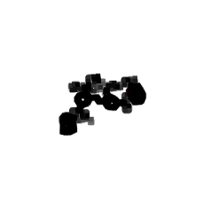 CC(C)(C)CC1C(CCC2C3CC(CC3C(=O)OC3(C)C4CC5CC(C4)CC3C5)C2C(C)(C)C(C)(C)C)C2CC(C(=O)OC34CC5CC(CC(O)(C5)C3)C4)C1C2